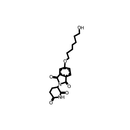 O=C1CCC(N2C(=O)c3ccc(OCCCCCCCO)cc3C2=O)C(=O)N1